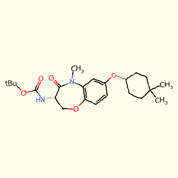 CN1C(=O)[C@@H](NC(=O)OC(C)(C)C)COc2ccc(OC3CCC(C)(C)CC3)cc21